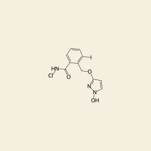 O=C(NCl)c1cccc(I)c1COc1ccn(O)n1